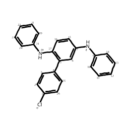 Clc1ccc(-c2cc(Nc3ccccc3)ccc2Nc2ccccc2)cc1